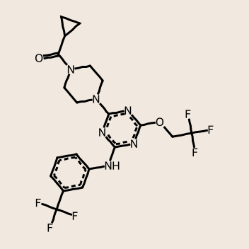 O=C(C1CC1)N1CCN(c2nc(Nc3cccc(C(F)(F)F)c3)nc(OCC(F)(F)F)n2)CC1